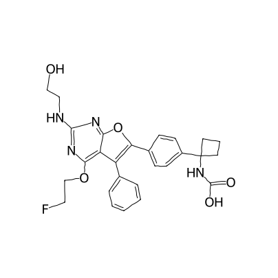 O=C(O)NC1(c2ccc(-c3oc4nc(NCCO)nc(OCCF)c4c3-c3ccccc3)cc2)CCC1